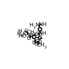 CC(C)(C)[C@@H](CO)NC(=O)c1ccc(-c2ccsc2C(=O)Nc2ccc(C(=N)N)cc2)c(C(=O)OS(C)(=O)=O)c1